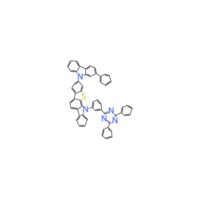 c1ccc(-c2ccc3c4ccccc4n(-c4ccc5c(c4)sc4c5ccc5c6ccccc6n(-c6cccc(-c7nc(-c8ccccc8)nc(-c8ccccc8)n7)c6)c54)c3c2)cc1